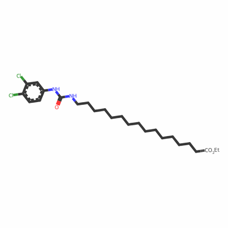 CCOC(=O)CCCCCCCCCCCCCCCNC(=O)Nc1ccc(Cl)c(Cl)c1